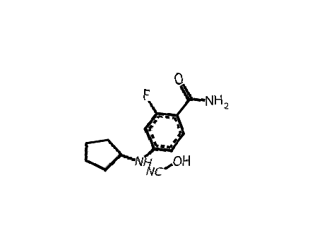 N#CO.NC(=O)c1ccc(NC2CCCC2)cc1F